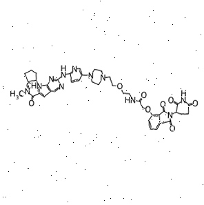 CN(C)C(=O)c1cc2cnc(Nc3ccc(N4CCN(CCOCCNC(=O)COc5cccc6c5C(=O)N(C5CCC(=O)NC5=O)C6=O)CC4)cn3)nc2n1C1CCCC1